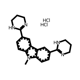 Cl.Cl.Cn1c2ccc(C3=NCCCN3)cc2c2cc(C3=NCCCN3)ccc21